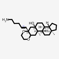 C[C@@]12CCC[C@H]1[C@@H]1CC[C@@]3(O)C[C@@]4(/C=C/CCCN)OCCOC4C[C@]3(C)[C@H]1CC2